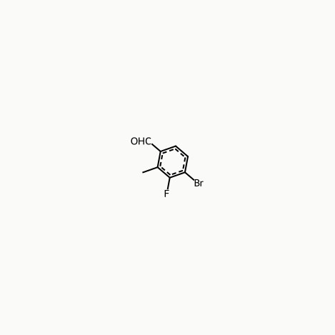 Cc1c(C=O)ccc(Br)c1F